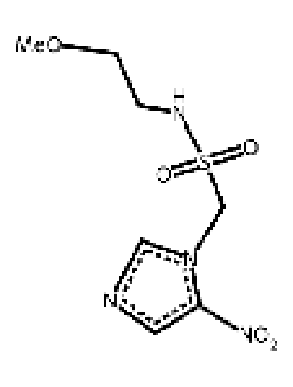 COCCNS(=O)(=O)Cn1cncc1[N+](=O)[O-]